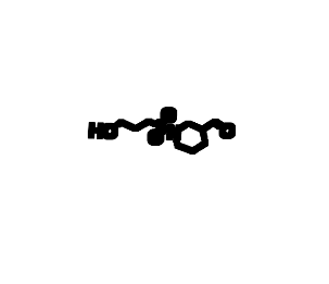 O=CC1CCCN(S(=O)(=O)CCCO)C1